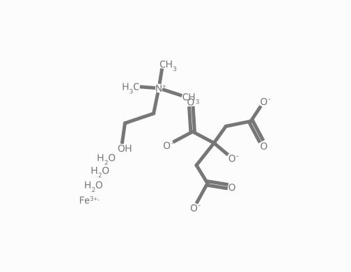 C[N+](C)(C)CCO.O.O.O.O=C([O-])CC([O-])(CC(=O)[O-])C(=O)[O-].[Fe+3]